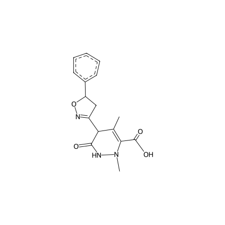 CC1=C(C(=O)O)N(C)NC(=O)C1C1=NOC(c2ccccc2)C1